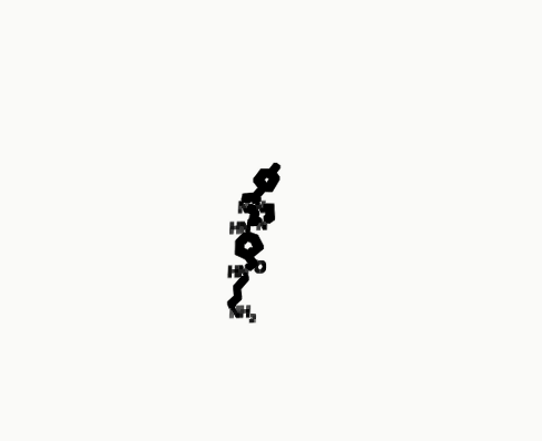 Cc1ccc(-c2cnc3c(Nc4ccc(C(=O)NCCCCN)cc4)nccn23)cc1